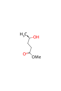 COC(=O)CC[C@@H](C)O